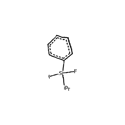 CC(C)[Si](F)(I)c1ccccc1